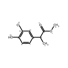 COC(=O)C(C)c1ccc(O)c(Cl)c1